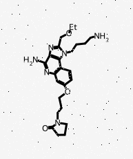 CCOCc1nc2c(N)nc3cc(OCCCN4CCCC4=O)ccc3c2n1CCCCN